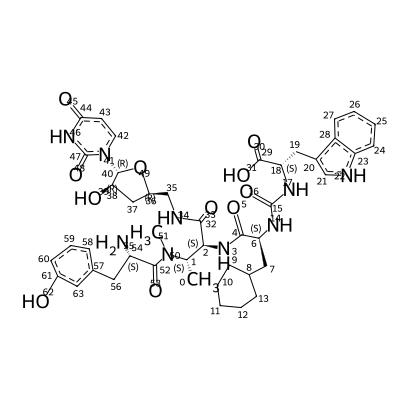 C[C@@H]([C@H](NC(=O)[C@H](CC1CCCCC1)NC(=O)N[C@@H](Cc1c[nH]c2ccccc12)C(=O)O)C(=O)NC[C@H]1C[C@@H](O)[C@H](n2ccc(=O)[nH]c2=O)O1)N(C)C(=O)[C@@H](N)Cc1cccc(O)c1